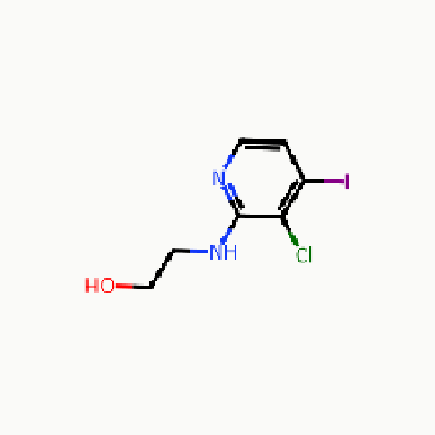 OCCNc1nccc(I)c1Cl